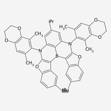 Cc1cc2c(c(C)c1N1c3cc(C(C)C)cc4c3B(c3c1oc1ccc(C(C)(C)C)cc31)c1c(oc3ccc(C(C)(C)C)cc13)N4c1c(C)cc3c(c1C)OCCO3)OCCO2